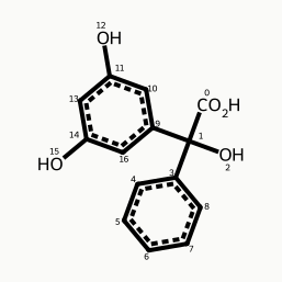 O=C(O)C(O)(c1ccccc1)c1cc(O)cc(O)c1